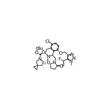 Cn1nnc(COc2ccc(Cl)c3c2C(CN2CCCC2=O)N(C(=O)[C@@H]2CC4(CC4)CN2C(=O)OC(C)(C)C)CC3)c1C(F)F